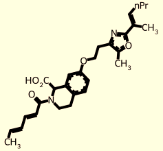 CC=CC=CC(=O)N1CCc2ccc(OCCc3nc(C(C)=CCCC)oc3C)cc2C1C(=O)O